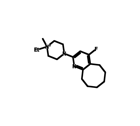 CC[N+]1(C)CCN(c2cc(F)c3c(n2)CCCCCC3)CC1